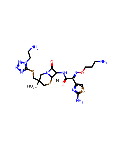 NCCCON=C(C(=O)NC1C(=O)N2CC(CSc3nnnn3CCN)(C(=O)O)CS[C@H]12)c1csc(N)n1